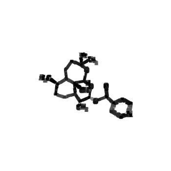 CC(C)[C@]1(C)CCC2[C@H](C)CCC3[C@@H](C)[C@@H](OC(=O)c4ccncc4)O[C@H](O1)[C@@]23O